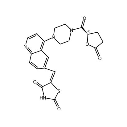 O=C1CC[C@H](C(=O)N2CCN(c3ccnc4ccc(C=C5SC(=O)NC5=O)cc34)CC2)O1